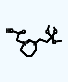 CO[Si](CCN1C=[N+](CC(=O)O)CCCC1)(OC)OC